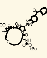 CC(C)(C)OC(=O)N[C@H]1CCCCC/C=C\[C@@H]2C[C@@]2(C(=O)O)NC(=O)[C@@H]2C[C@H](n3nc4ccc(C(=O)c5ccccc5)cc4n3)CN2C1=O